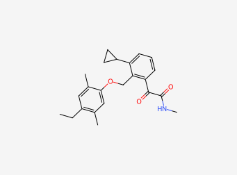 CCc1cc(C)c(OCc2c(C(=O)C(=O)NC)cccc2C2CC2)cc1C